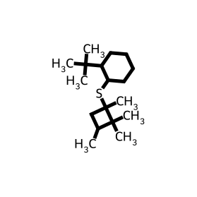 CC1CC(C)(SC2CCCCC2C(C)(C)C)C1(C)C